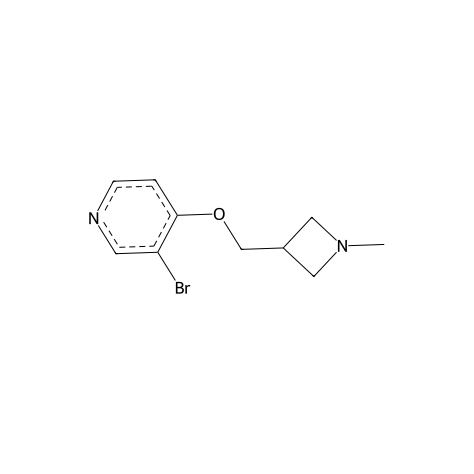 CN1CC(COc2ccncc2Br)C1